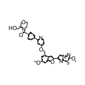 COc1cc(COc2ccnc(-c3ccc(C(=O)N4CCOC[C@@H]4CO)cc3)c2)c2cc(-c3cn4nc(OC)sc4n3)oc2c1